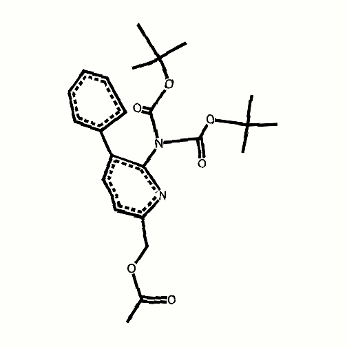 CC(=O)OCc1ccc(-c2ccccc2)c(N(C(=O)OC(C)(C)C)C(=O)OC(C)(C)C)n1